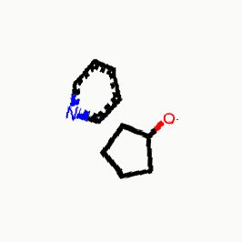 [O]C1CCCC1.c1ccncc1